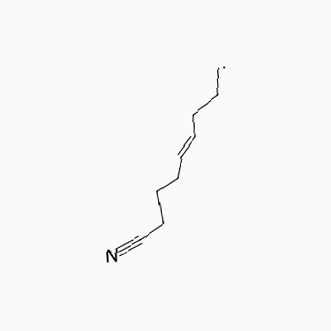 [CH2]CC/C=C/CCCC#N